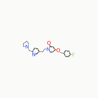 O=c1cc(OCc2ccc(F)cc2)ccn1CCc1ccc(CN2CCCC2)nc1